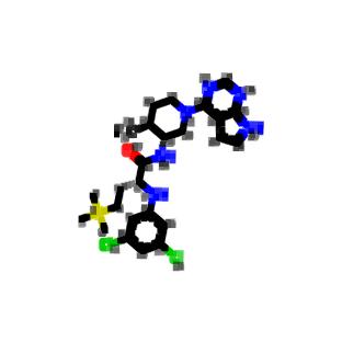 CS(C)(C)CC[C@@H](Nc1cc(Cl)cc(Cl)c1)C(=O)N[C@H]1CN(c2ncnc3[nH]ccc23)CC[C@@H]1C(F)(F)F